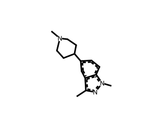 Cc1nn(C)c2ccc(C3CCN(C)CC3)cc12